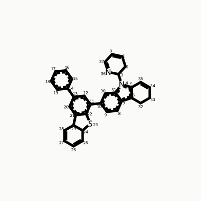 C1=CCC(n2c3c(c4ccc(-c5cc(-c6ccccc6)cc6c5SC5C=CC=CC65)cc42)CCC=C3)N=C1